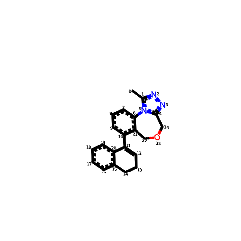 Cc1nnc2n1-c1cccc(C3=CCCc4ccccc43)c1COC2